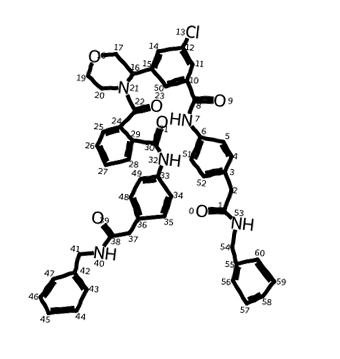 O=C(Cc1ccc(NC(=O)c2cc(Cl)cc(C3COCCN3C(=O)c3ccccc3C(=O)Nc3ccc(CC(=O)NCc4ccccc4)cc3)c2)cc1)NCc1ccccc1